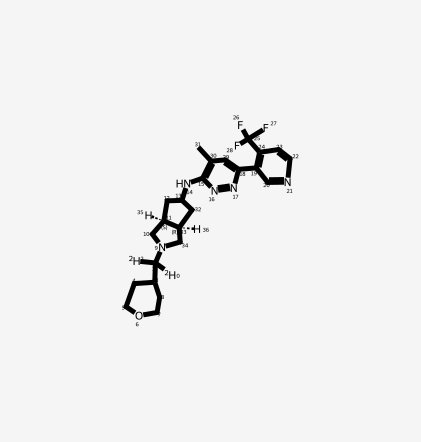 [2H]C([2H])(C1CCOCC1)N1C[C@H]2CC(Nc3nnc(-c4cnccc4C(F)(F)F)cc3C)C[C@H]2C1